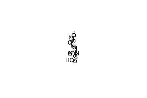 Cc1ccc(C2(C)Oc3cccc(N4CCN(Cc5nc6sc(C(=O)O)cc6n5CC5CCO5)CC4)c3O2)c(F)c1